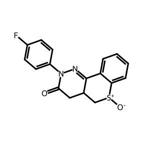 O=C1CC2C[S+]([O-])c3ccccc3C2=NN1c1ccc(F)cc1